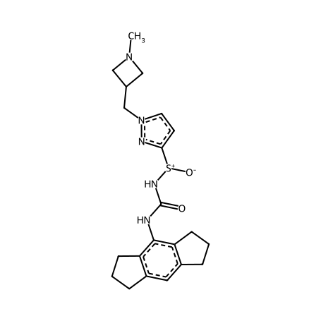 CN1CC(Cn2ccc([S+]([O-])NC(=O)Nc3c4c(cc5c3CCC5)CCC4)n2)C1